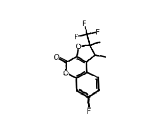 CC1c2c(c(=O)oc3cc(F)ccc23)OC1(C)C(F)(F)F